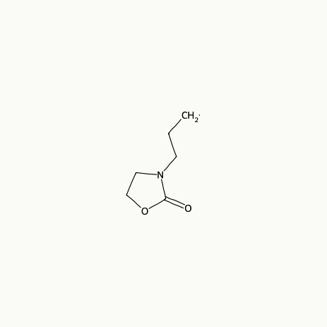 [CH2]CCN1CCOC1=O